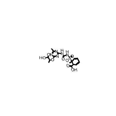 Cc1nc(NC(=O)NS(=O)(=O)C2(C)C=CC=CC2C(=O)O)nc(OC(C)C(=O)O)n1